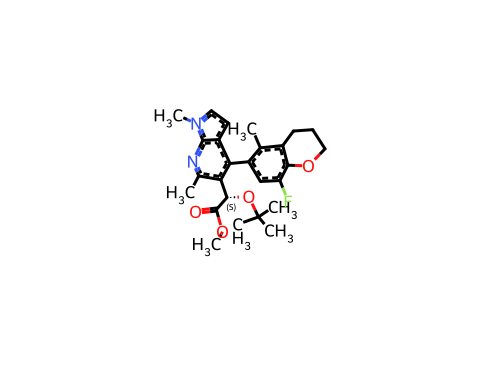 COC(=O)[C@@H](OC(C)(C)C)c1c(C)nc2c(ccn2C)c1-c1cc(F)c2c(c1C)CCCO2